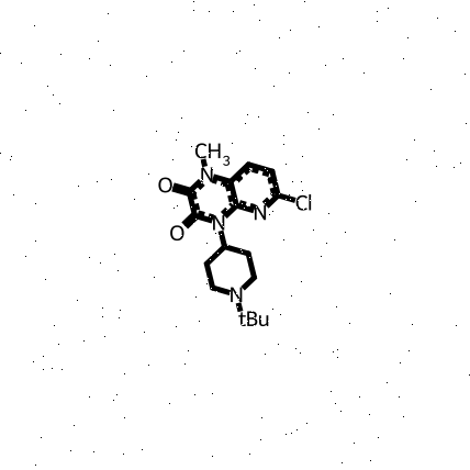 Cn1c(=O)c(=O)n(C2CCN(C(C)(C)C)CC2)c2nc(Cl)ccc21